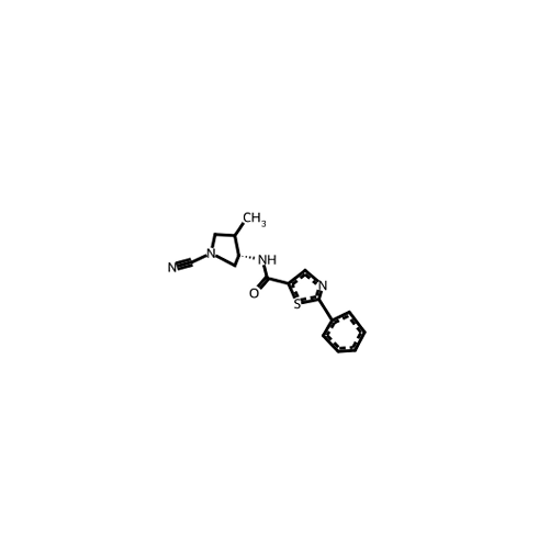 CC1CN(C#N)C[C@H]1NC(=O)c1cnc(-c2ccccc2)s1